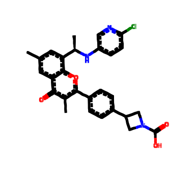 Cc1cc([C@@H](C)Nc2ccc(Cl)nc2)c2oc(-c3ccc(C4CN(C(=O)O)C4)cc3)c(C)c(=O)c2c1